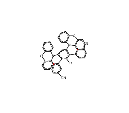 CCc1c(-c2cccc(C#N)c2)c(N2c3ccccc3Oc3ccccc32)cc(N2c3ccccc3Oc3ccccc32)c1-c1cccc(C#N)c1